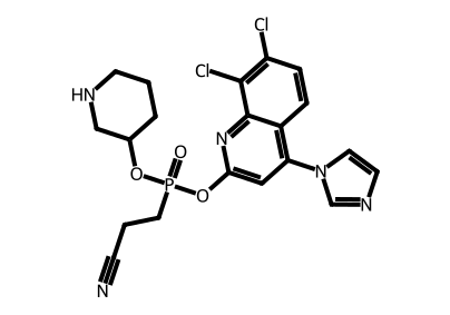 N#CCCP(=O)(Oc1cc(-n2ccnc2)c2ccc(Cl)c(Cl)c2n1)OC1CCCNC1